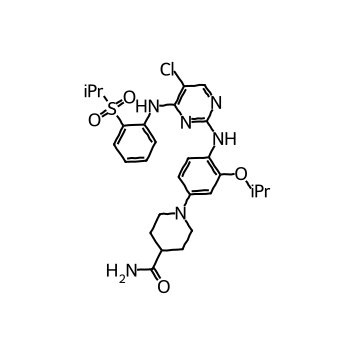 CC(C)Oc1cc(N2CCC(C(N)=O)CC2)ccc1Nc1ncc(Cl)c(Nc2ccccc2S(=O)(=O)C(C)C)n1